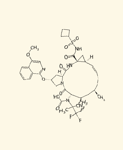 COc1cnc(O[C@@H]2C[C@H]3C(=O)N[C@]4(C(=O)NS(=O)(=O)C5CCC5)C[C@H]4C=CCC[C@@H](C)C[C@@H](C)[C@H](N(C(=O)O)C(C)(C)C(F)(F)F)C(=O)N3C2)c2ccccc12